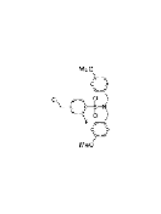 COc1ccc(CN(Cc2ccc(OC)cc2)S(=O)(=O)c2ccc(CCl)cc2F)cc1